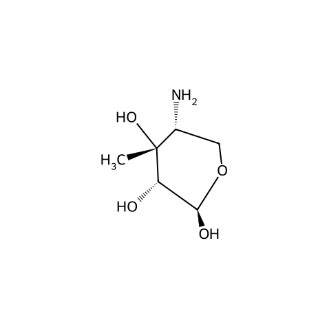 C[C@@]1(O)[C@H](N)CO[C@@H](O)[C@@H]1O